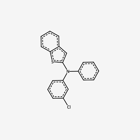 Clc1cccc(N(c2ccccc2)c2cc3ccccc3s2)c1